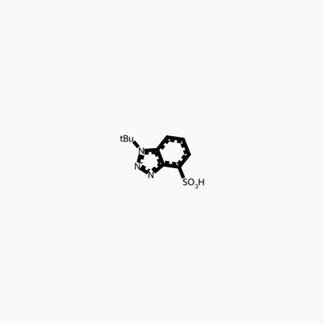 CC(C)(C)n1nnc2c(S(=O)(=O)O)cccc21